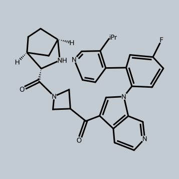 CC(C)c1cnccc1-c1cc(F)ccc1-n1cc(C(=O)C2CN(C(=O)[C@H]3N[C@@H]4CC[C@H]3C4)C2)c2ccncc21